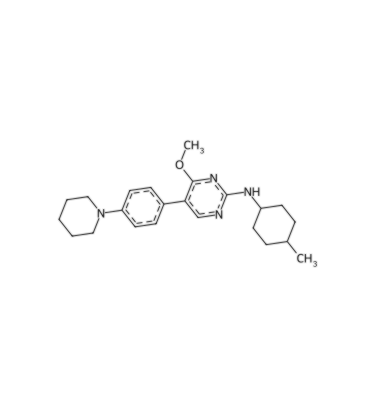 COc1nc(NC2CCC(C)CC2)ncc1-c1ccc(N2CCCCC2)cc1